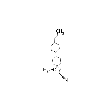 CCC[C@H]1CC[C@H]([C@H]2CC[C@@](C=CC#N)(OC)CC2)CC1